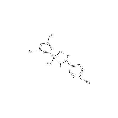 Cc1cc(C)cc(C(C)(C)NC(=O)c2ccc(N)cc2)c1